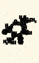 CCCC[C@@H](NC(C)=O)C(=O)N[C@H]1CCC(=O)NCCNC(=O)[C@@H](Cc2c[nH]c3ccccc23)NC(=O)C(CCCNC(=N)N)NC(=O)[C@@H](Cc2ccc3ccccc3c2)NC(=O)[C@H](Cc2c[nH]cn2)NC1=O